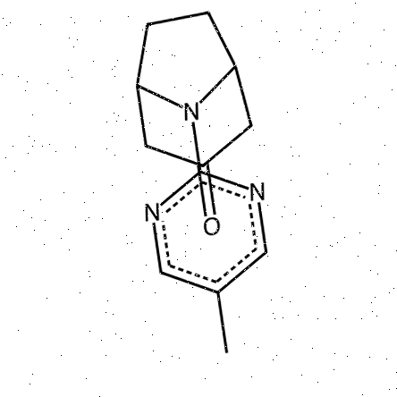 Cc1cnc(N2C3CCC2CC(=O)C3)nc1